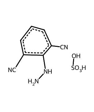 N#Cc1cccc(C#N)c1NN.O=S(=O)(O)O